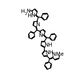 C/C=C\C(NC)=C(/c1ccccc1)c1ccc(-c2ccc(/C(=C3/C=CC(C(=C4/C=CC(C(=C5/C=CC(N)N5)/c5ccccc5)=N4)/c4ccccc4)=N3)c3ccccc3)[nH]2)[nH]1